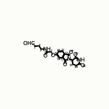 O=CCCCNC(=O)COc1ccc2c(c1)C(=O)N(C1CCC(=O)NC1=O)C2=O